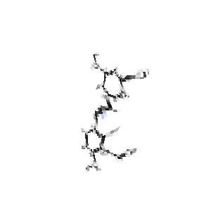 COC1=CC(=O)O[C@@H](/C=C/c2ccc(OC)c(C=O)c2)C1